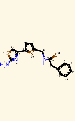 Nc1nc(-c2ccc(CNC(=S)Cc3ccccc3)s2)cs1